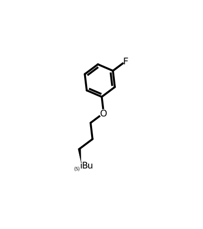 CC[C@H](C)CCCOc1cccc(F)c1